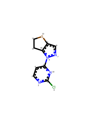 Clc1nccc(-n2ncc3c2CCS3)n1